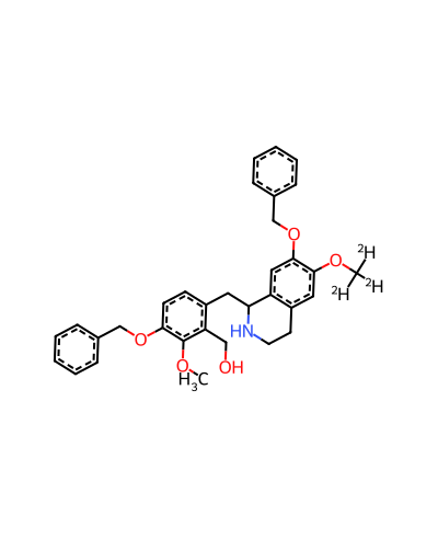 [2H]C([2H])([2H])Oc1cc2c(cc1OCc1ccccc1)C(Cc1ccc(OCc3ccccc3)c(OC)c1CO)NCC2